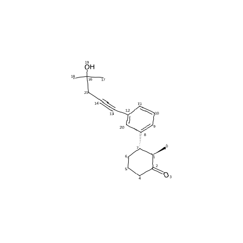 C[C@H]1C(=O)CCC[C@@H]1c1cccc(C#CCC(C)(C)O)c1